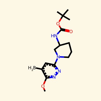 Bc1cc(N2CCCC(NC(=O)OC(C)(C)C)C2)nnc1OC